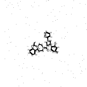 CC(=O)N1CCN(C(=O)[C@@H]2CN(c3cccnn3)C[C@H]2c2ccc(F)cc2F)CCC1c1ccccc1